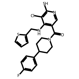 O=C(c1cnc(S)c(Cl)c1NCc1cccs1)N1CCC(c2ccc(F)cc2)CC1